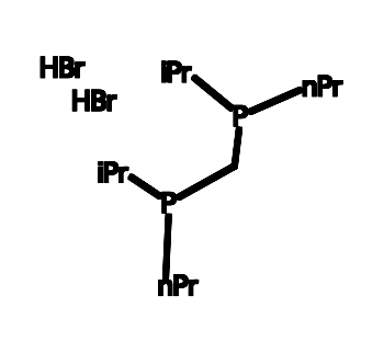 Br.Br.CCCP(CP(CCC)C(C)C)C(C)C